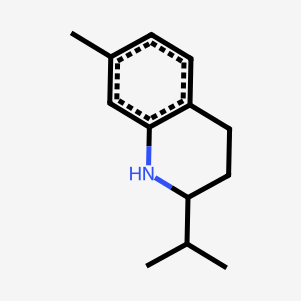 Cc1ccc2c(c1)NC(C(C)C)CC2